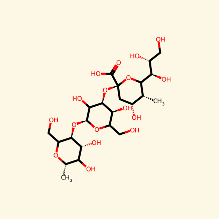 C[C@@H]1OC(CO)[C@@H](O[C@@H]2OC(CO)[C@H](O)[C@H](O[C@]3(C(=O)O)C[C@@H](O)[C@@H](C)C([C@H](O)[C@H](O)CO)O3)C2O)[C@H](O)C1O